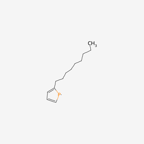 CCCCCCCCCC1=CC=C[P]1